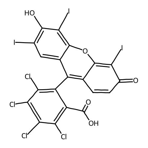 O=C(O)c1c(Cl)c(Cl)c(Cl)c(Cl)c1-c1c2ccc(=O)c(I)c-2oc2c(I)c(O)c(I)cc12